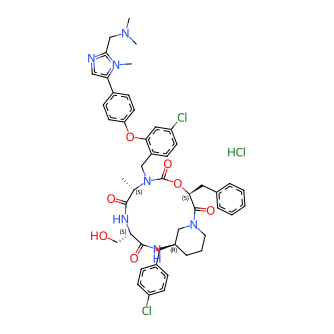 C[C@H]1C(=O)N[C@@H](CO)C(=O)N[C@@]2(Cc3ccc(Cl)cc3)CCCN(C2)C(=O)[C@H](Cc2ccccc2)OC(=O)N1Cc1ccc(Cl)cc1Oc1ccc(-c2cnc(CN(C)C)n2C)cc1.Cl